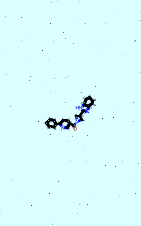 O=C(c1ccc(-c2ccccc2)nc1)N1CC(c2nc3ccccc3[nH]2)C1